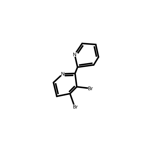 Brc1ccnc(-c2ccccn2)c1Br